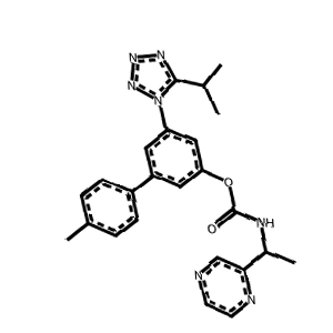 Cc1ccc(-c2cc(OC(=O)NC(C)c3cnccn3)cc(-n3nnnc3C(C)C)c2)cc1